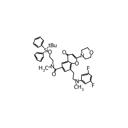 CN(CCO[Si](c1ccccc1)(c1ccccc1)C(C)(C)C)C(=O)c1cc(CCN(C)c2cc(F)cc(F)c2)c2oc(N3CCOCC3)cc(=O)c2c1